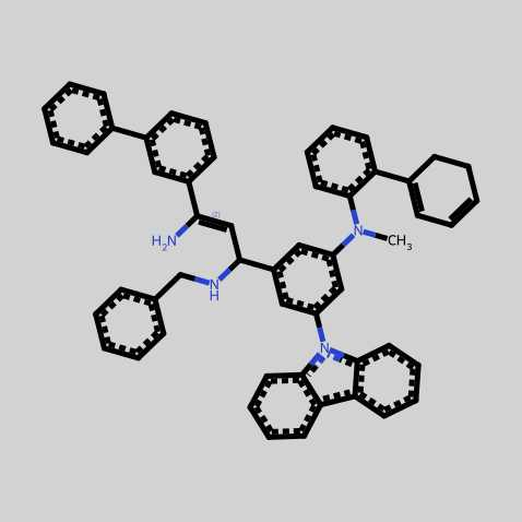 CN(c1cc(C(/C=C(\N)c2cccc(-c3ccccc3)c2)NCc2ccccc2)cc(-n2c3ccccc3c3ccccc32)c1)c1ccccc1C1=CC=CCC1